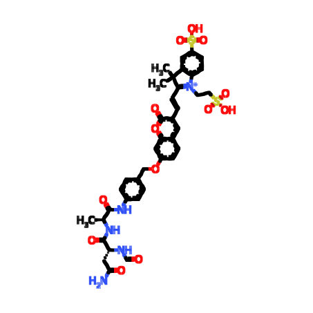 C[C@H](NC(=O)[C@@H](CC(N)=O)NC=O)C(=O)Nc1ccc(COc2ccc3cc(/C=C/C4=[N+](CCS(=O)(=O)O)c5ccc(S(=O)(=O)O)cc5C4(C)C)c(=O)oc3c2)cc1